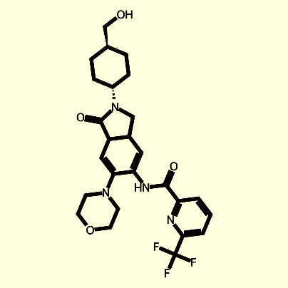 O=C(NC1=CC2CN([C@H]3CC[C@H](CO)CC3)C(=O)C2C=C1N1CCOCC1)c1cccc(C(F)(F)F)n1